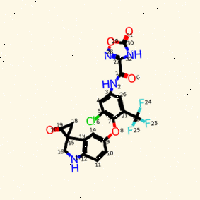 O=C(Nc1cc(Cl)c(Oc2ccc3c(c2)C2(CN3)CC2=O)c(C(F)(F)F)c1)c1noc(=O)[nH]1